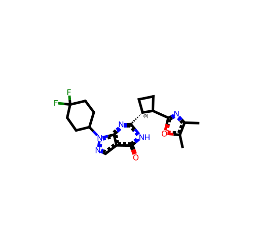 Cc1nc(C2CC[C@H]2c2nc3c(cnn3C3CCC(F)(F)CC3)c(=O)[nH]2)oc1C